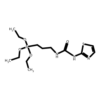 CCO[Si](CCCNC(=O)Nc1nccs1)(OCC)OCC